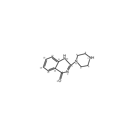 O=c1nc(N2CCNCC2)[nH]c2ccccc12